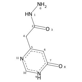 NNC(=O)Cc1cc(=O)[nH]cn1